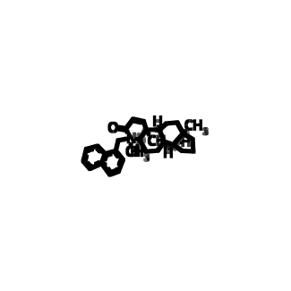 C[C@@]12CCC[C@H]1[C@@H]1CC[C@@H]3[C@](C)(C=CC(=O)[N+]3(C)Cc3cccc4ccccc34)[C@H]1CC2